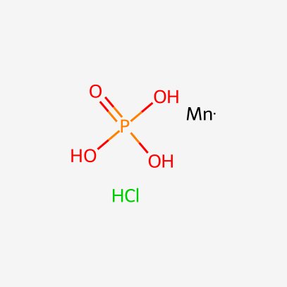 Cl.O=P(O)(O)O.[Mn]